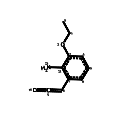 CCOc1cccc(C=C=O)c1N